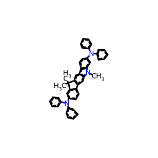 Cn1c2cc(N(c3ccccc3)c3ccccc3)ccc2c2cc3c(cc21)-c1ccc(N(c2ccccc2)c2ccccc2)cc1C3(C)C